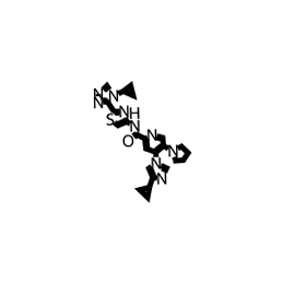 O=C(Nc1csc(-c2nncn2C2CC2)n1)c1cc(-n2cnc(C3CC3)c2)c(N2CCCC2)cn1